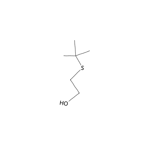 CC(C)(C)SCCO